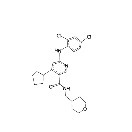 O=C(NCC1CCOCC1)c1cnc(Nc2ccc(Cl)cc2Cl)cc1C1CCCC1